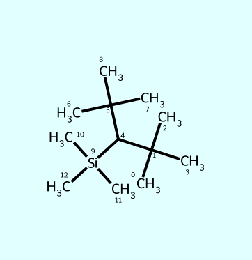 CC(C)(C)C(C(C)(C)C)[Si](C)(C)C